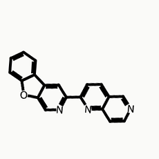 c1ccc2c(c1)oc1cnc(-c3ccc4cnccc4n3)cc12